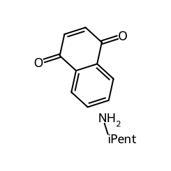 CCCC(C)N.O=C1C=CC(=O)c2ccccc21